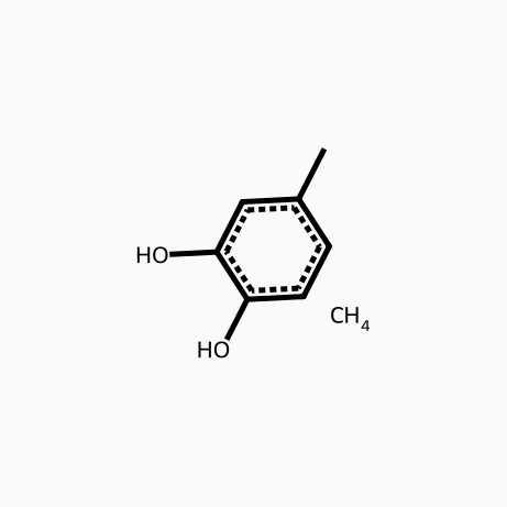 C.Cc1ccc(O)c(O)c1